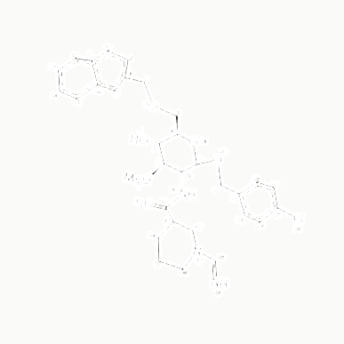 CO[C@H]1[C@H](O)[C@@H](COCc2ccc3ccccc3c2)OC(OCc2ccc(Cl)cc2)[C@@H]1NC(=O)C1CCCN(C=N)C1